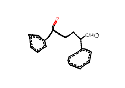 O=CC(CCC(=O)c1ccccc1)c1ccccc1